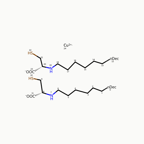 CCCCCCCCCCCCCCCCN[C@@H](CS)C(=O)[O-].CCCCCCCCCCCCCCCCN[C@@H](CS)C(=O)[O-].[Cu+2]